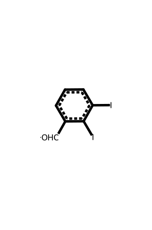 O=[C]c1cccc(I)c1I